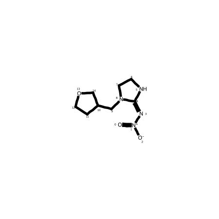 O=[N+]([O-])N=C1NCCN1CC1CCOC1